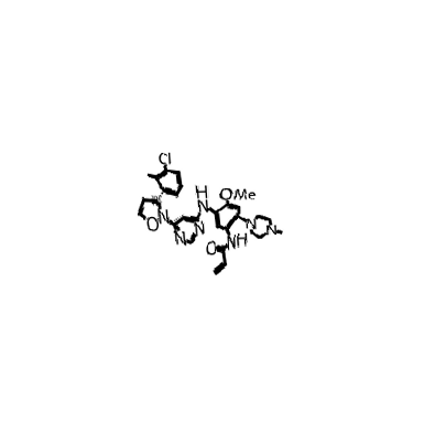 C=CC(=O)Nc1cc(Nc2cc(N3OCC[C@@H]3c3cccc(Cl)c3C)ncn2)c(OC)cc1N1CCN(C)CC1